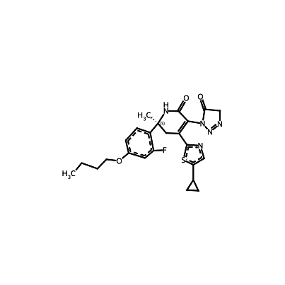 CCCCOc1ccc([C@]2(C)CC(c3ncc(C4CC4)s3)=C(N3N=NCC3=O)C(=O)N2)c(F)c1